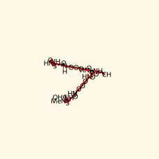 C#CCCCC(=O)Nc1cc(C(=O)NCCCOCCOCCOCCCNC(=O)CCCCC2SCC(NC)C2NC=O)cc(C(=O)NCCCOCCOCCOCCCNC(=O)CCCCC2SCC3NC(=O)NC32)c1